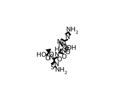 Nc1nc(/C(=N/OC2(C(=O)O)CC2)C(=O)NC2C(=O)N(S(=O)(=O)O)[C@H]2Cn2ncc(CN3CC(N)C3)n2)cs1